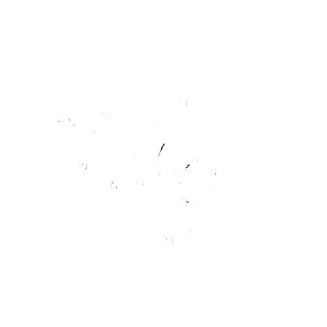 NC(=O)c1[nH]cnc1O[C@@]1(COC(=O)c2ccccc2)OC[C@H](OC(=O)c2ccccc2)[C@@H]1OC(=O)c1ccccc1